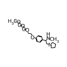 CNC(CN1CCCC1)c1ccc(OCCOOOOOC)cc1